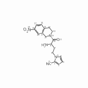 N#Cc1cccn1CCC(N)C(=O)N1CCc2ccc([N+](=O)[O-])cc2C1